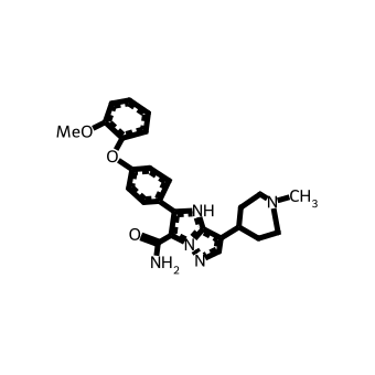 COc1ccccc1Oc1ccc(-c2[nH]c3c(C4CCN(C)CC4)cnn3c2C(N)=O)cc1